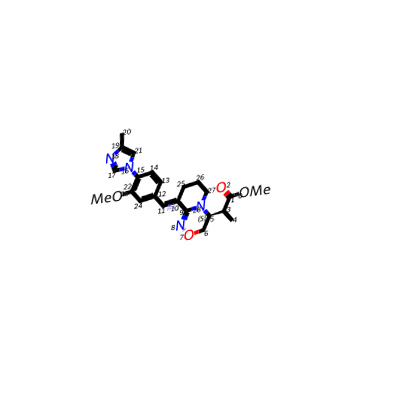 COC(=O)C(C)[C@H]1CON=C2/C(=C/c3ccc(-n4cnc(C)c4)c(OC)c3)CCCN21